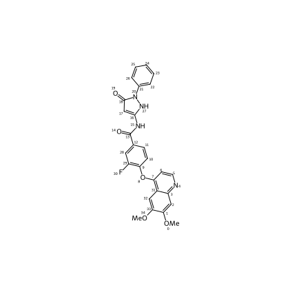 COc1cc2nccc(Oc3ccc(C(=O)Nc4cc(=O)n(-c5ccccc5)[nH]4)cc3F)c2cc1OC